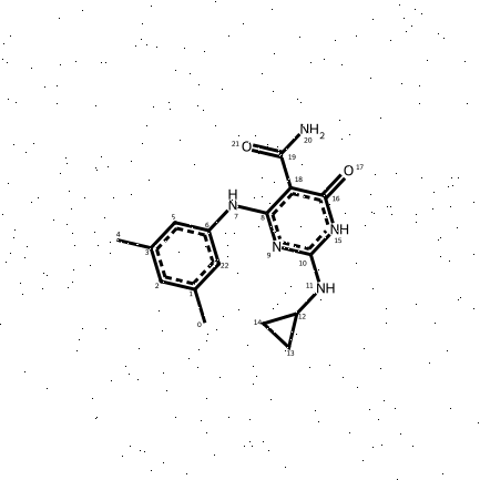 Cc1cc(C)cc(Nc2nc(NC3CC3)[nH]c(=O)c2C(N)=O)c1